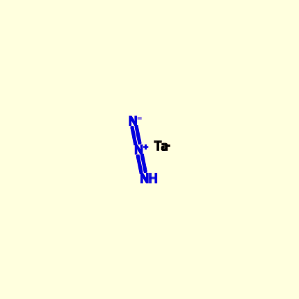 [N-]=[N+]=N.[Ta]